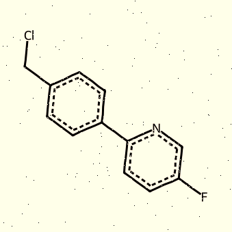 Fc1ccc(-c2ccc(CCl)cc2)nc1